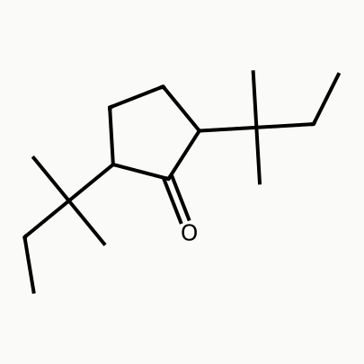 CCC(C)(C)C1CCC(C(C)(C)CC)C1=O